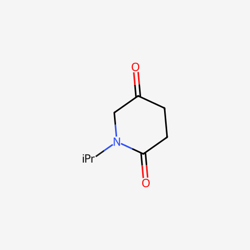 CC(C)N1CC(=O)CCC1=O